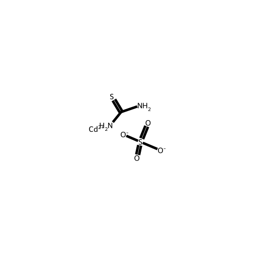 NC(N)=S.O=S(=O)([O-])[O-].[Cd+2]